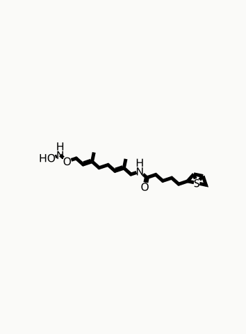 C/C(=C\CONO)CC/C=C(\C)CNC(=O)CCCCC1C2C3CS132